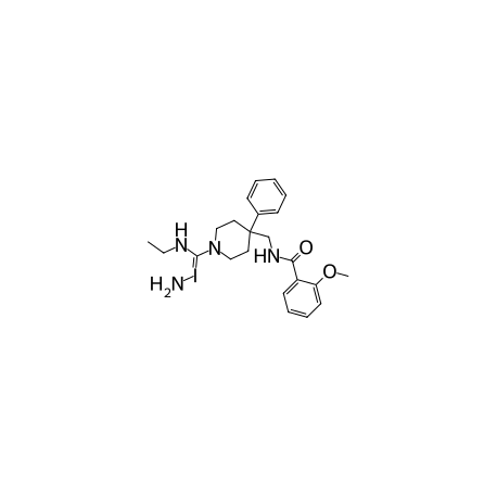 CCN/C(=I\N)N1CCC(CNC(=O)c2ccccc2OC)(c2ccccc2)CC1